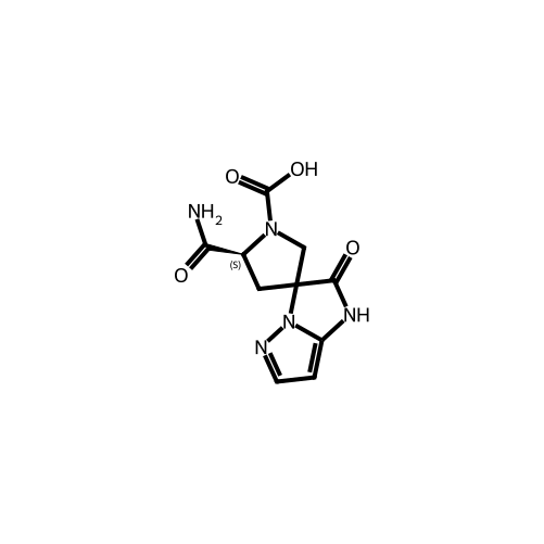 NC(=O)[C@@H]1CC2(CN1C(=O)O)C(=O)Nc1ccnn12